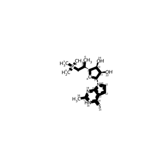 C=P(C)(C)CC(C)[C@H]1O[C@@H](n2ccc3c(=S)[nH]c(C)nc32)[C@H](O)[C@@H]1O